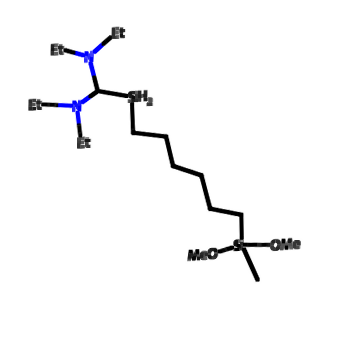 CCN(CC)C([SiH2]CCCCCC[Si](C)(OC)OC)N(CC)CC